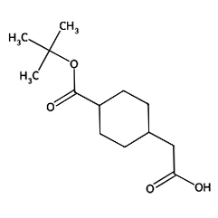 CC(C)(C)OC(=O)C1CCC(CC(=O)O)CC1